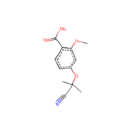 COc1cc(OC(C)(C)C#N)ccc1C(=O)O